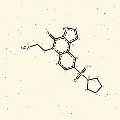 O=C(O)CCn1c(=O)c2[nH]ccc2c2cc(S(=O)(=O)N3CCCC3)ccc21